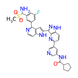 CS(=O)(=O)C(N)c1cc(F)cc(-c2nccc3[nH]c(-c4n[nH]c5ccc(-c6cncc(NC(=O)C7CCCC7)c6)nc45)cc23)c1